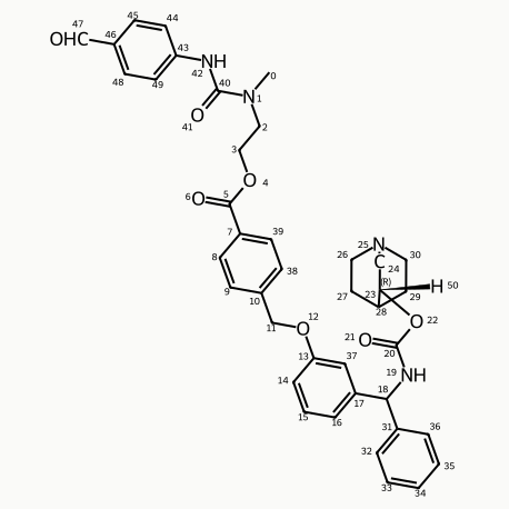 CN(CCOC(=O)c1ccc(COc2cccc(C(NC(=O)O[C@H]3CN4CCC3CC4)c3ccccc3)c2)cc1)C(=O)Nc1ccc(C=O)cc1